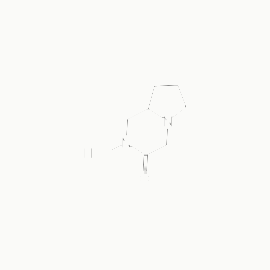 CN1CC2CCCN2CC1=O